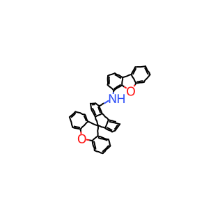 c1ccc2c(c1)Oc1ccccc1C21c2ccccc2-c2c(Nc3cccc4c3oc3ccccc34)cccc21